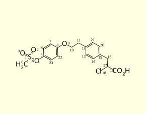 CS(=O)(=O)Oc1ccc(OCCc2ccc(CC(Cl)C(=O)O)cc2)cc1